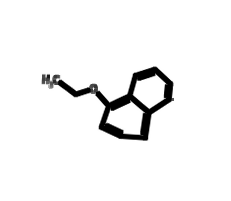 CCOc1cccc2[c]cccc12